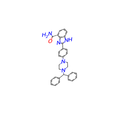 NC(=O)c1cccc2[nH]c(-c3ccc(N4CCN(C(c5ccccc5)c5ccccc5)CC4)cc3)nc12